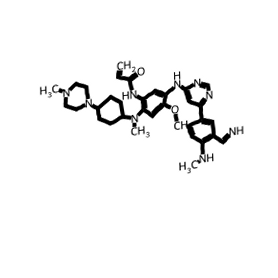 C=CC(=O)Nc1cc(Nc2cc(-c3ccc(NC)c(C=N)c3)ncn2)c(OC)cc1N(C)C1CCC(N2CCN(C)CC2)CC1